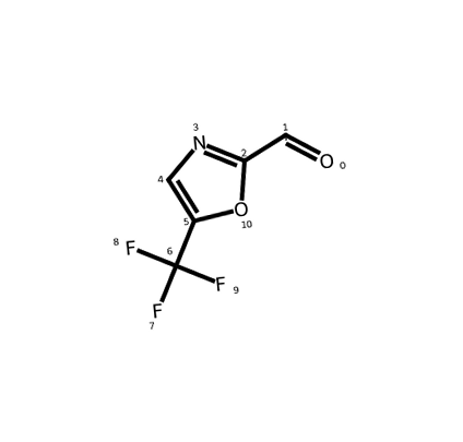 O=[C]c1ncc(C(F)(F)F)o1